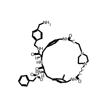 CC1C=C2C=CC1NC(=O)CCN1CCN(CCC(=O)Nc3ccc(cc3)C[C@@H](C(=O)NCc3ccc(CN)cc3)NC(=O)[C@H](NS(=O)(=O)Cc3ccccc3)C2)CC1